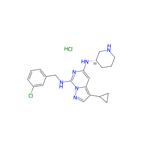 Cl.Clc1cccc(CNc2nc(N[C@H]3CCCNC3)cc3c(C4CC4)cnn23)c1